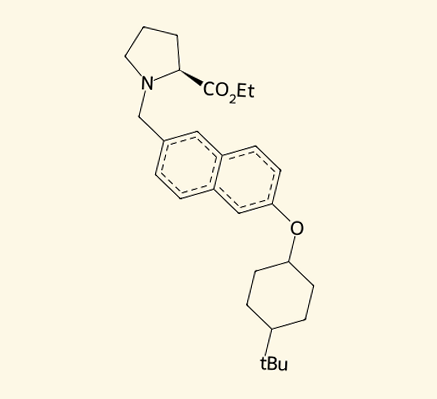 CCOC(=O)[C@@H]1CCCN1Cc1ccc2cc(OC3CCC(C(C)(C)C)CC3)ccc2c1